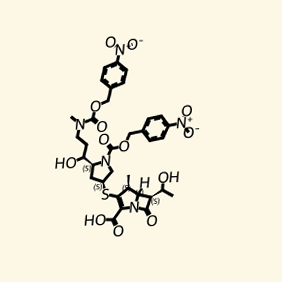 CC(O)[C@H]1C(=O)N2C(C(=O)O)=C(S[C@H]3C[C@@H](C(O)CCN(C)C(=O)OCc4ccc([N+](=O)[O-])cc4)N(C(=O)OCc4ccc([N+](=O)[O-])cc4)C3)[C@@H](C)[C@H]12